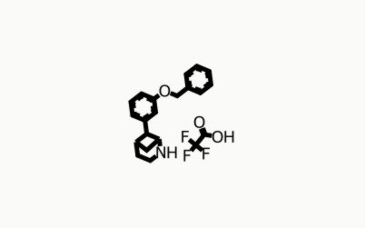 O=C(O)C(F)(F)F.c1ccc(COc2cccc(C3C4CCNC3C4)c2)cc1